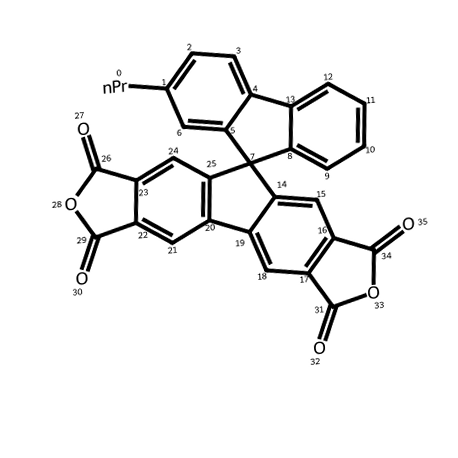 CCCc1ccc2c(c1)C1(c3ccccc3-2)c2cc3c(cc2-c2cc4c(cc21)C(=O)OC4=O)C(=O)OC3=O